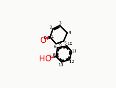 O=C1C=CCCC1.Oc1ccccc1